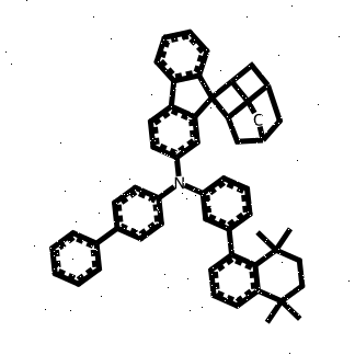 CC1(C)CCC(C)(C)c2c(-c3cccc(N(c4ccc(-c5ccccc5)cc4)c4ccc5c(c4)C4(c6ccccc6-5)C5CC6CC7CC4C75C6)c3)cccc21